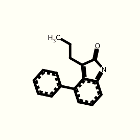 CCCC1=c2c(-c3ccccc3)cccc2=NC1=O